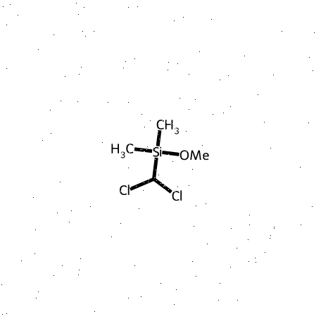 CO[Si](C)(C)C(Cl)Cl